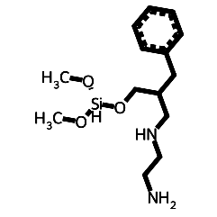 CO[SiH](OC)OCC(CNCCN)Cc1ccccc1